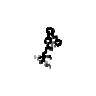 COC(=O)C(C)(C)CCCC(=O)N1CCc2c(n(Cc3ccnn3C)c3ncccc23)C1